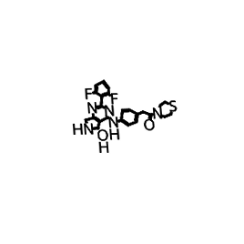 O=C(Cc1ccc(Nc2nc(-c3c(F)cccc3F)nc3c2C(O)NC3)cc1)N1CCSCC1